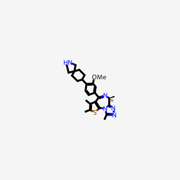 COc1cc(C2=N[C@@H](C)c3nnc(C)n3-c3sc(C)c(C)c32)ccc1C1CCC2(CCNC2)CC1